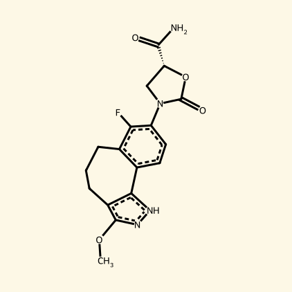 COc1n[nH]c2c1CCCc1c-2ccc(N2C[C@H](C(N)=O)OC2=O)c1F